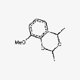 COc1cccc2c1OC(C)OC2C